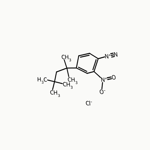 CC(C)(C)CC(C)(C)c1ccc([N+]#N)c([N+](=O)[O-])c1.[Cl-]